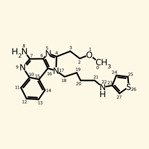 COCCc1nc2c(N)nc3ccccc3c2n1CCCCNc1ccsc1